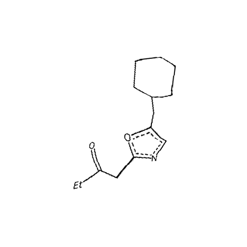 CCC(=O)Cc1ncc(C2CCCCC2)o1